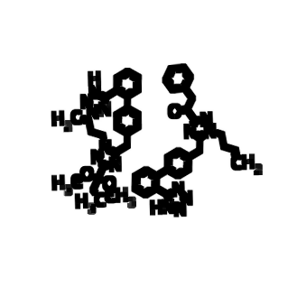 C=CCCn1nc(C(=O)Cc2ccccc2)nc1Cc1ccc(-c2ccccc2-c2nnn[nH]2)cc1.C=CCCn1nc(C(CC)(OC)OC)nc1Cc1ccc(-c2ccccc2-c2nnn[nH]2)cc1